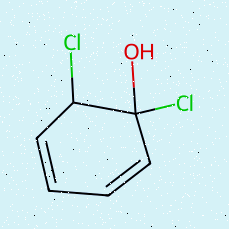 OC1(Cl)C=CC=CC1Cl